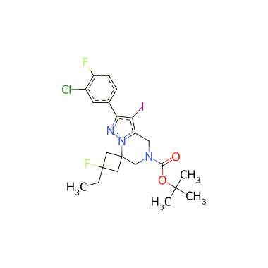 CCC1(F)CC2(CN(C(=O)OC(C)(C)C)Cc3c(I)c(-c4ccc(F)c(Cl)c4)nn32)C1